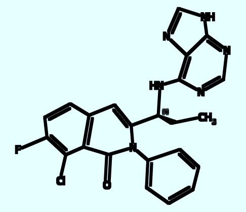 CC[C@H](Nc1ncnc2[nH]cnc12)c1cc2ccc(F)c(Cl)c2c(=O)n1-c1ccccc1